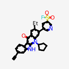 C#Cc1ccc2c(c1)[nH]c1c2c(=O)c2cc(CC)c(-c3cncc(S(=O)(=O)F)c3)cc2n1C1CCCC1